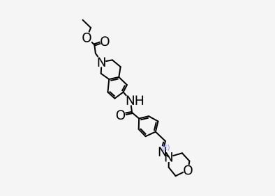 CCOC(=O)CN1CCc2cc(NC(=O)c3ccc(/C=N/N4CCOCC4)cc3)ccc2C1